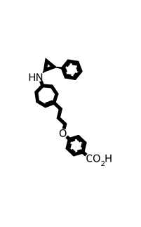 O=C(O)c1ccc(OCCCC2=CCCC(N[C@@H]3C[C@H]3c3ccccc3)CC2)cc1